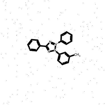 Cc1cccc(-n2nc(-c3ccccc3)n[n+]2-c2ccccc2)c1